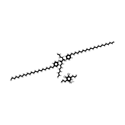 CCCCCCCCCCCCCCCCCCCCCCCc1ccc(/N=C(CCCC)/C(CCCCCCCC)=N/c2ccc(CCCCCCCCCCCCCCCCCCCCCCC)cc2)cc1.CCCc1ccc(CCC)c([O-])c1[O-].[Ni+2]